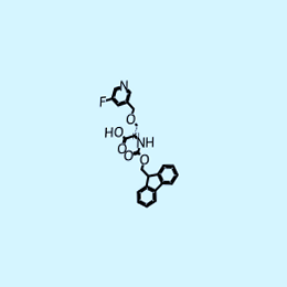 O=C(N[C@@H](COCc1cncc(F)c1)C(=O)O)OCC1c2ccccc2-c2ccccc21